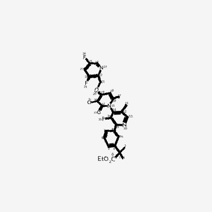 CCOC(=O)C(C)(C)c1cccc(-c2ncc(C)c(-n3c(C)cc(OCc4ncc(F)cc4F)c(Cl)c3=O)c2F)c1